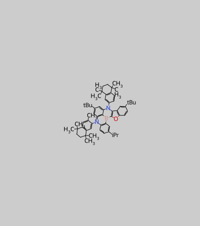 Cc1cc2c(cc1N1c3ccc(C(C)C)cc3B3c4oc5ccc(C(C)(C)C)cc5c4N(c4ccc5c(c4)C(C)(C)CCC5(C)C)c4cc(C(C)(C)C)cc1c43)C(C)(C)CCC2(C)C